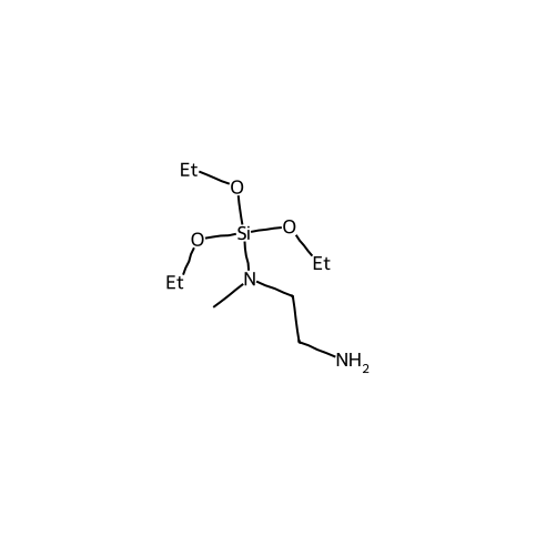 CCO[Si](OCC)(OCC)N(C)CCN